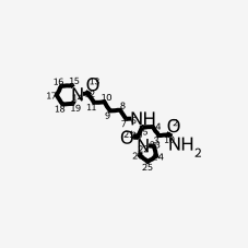 NC(=O)CCC(NCCCCCC(=O)N1CCCCC1)C(=O)N1CCCC1